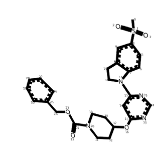 CS(=O)(=O)c1ccc2c(c1)CCN2c1cc(OC2CCN(C(=O)OCc3ccccc3)CC2)ncn1